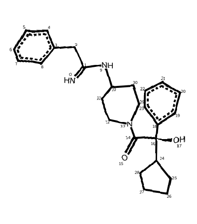 N=C(Cc1ccccc1)NC1CCN(C(=O)[C@](O)(c2ccccc2)C2CCCC2)CC1